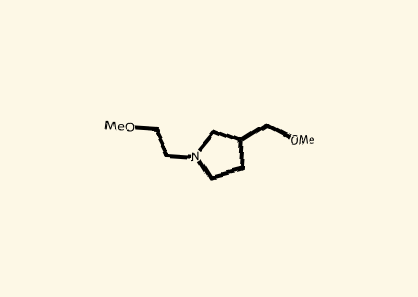 COCCN1CCC(COC)C1